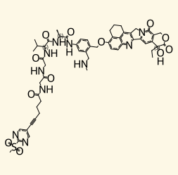 CC[C@@]1(O)C(=O)OCc2c1cc1n(c2=O)Cc2c-1nc1ccc(OCc3ccc(NC(=O)[C@H](C)NC(=O)[C@@H](NC(=O)CNC(=O)CNC(=O)CCCC#Cc4cnc(S(C)(=O)=O)nc4)C(C)C)cc3CNC)c3c1c2CCC3